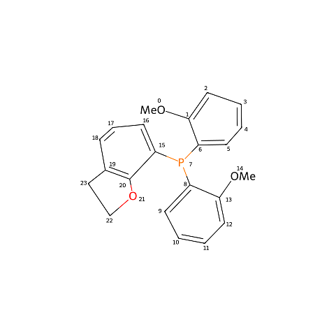 COc1ccccc1P(c1ccccc1OC)c1cccc2c1OCC2